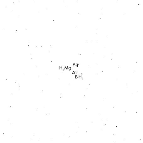 [Ag].[BiH3].[MgH2].[Zn]